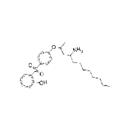 CCCCCCCCC(N)CC(C)Oc1ccc(S(=O)(=O)c2ccccc2O)cc1